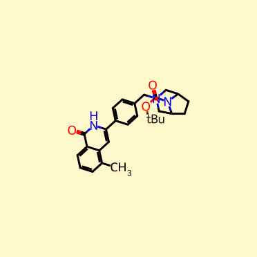 Cc1cccc2c(=O)[nH]c(-c3ccc(CN4CC5CCC(C4)N5C(=O)OC(C)(C)C)cc3)cc12